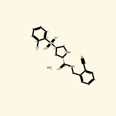 Cl.N#Cc1ccccc1CNC(=O)[C@@H]1C[C@@H](S(=O)(=O)c2ccccc2Cl)CN1